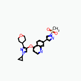 CS(=O)(=O)n1cc(-c2ccc3c(Oc4cn(C5CC5)nc4C4CCOCC4)ccnc3c2)cn1